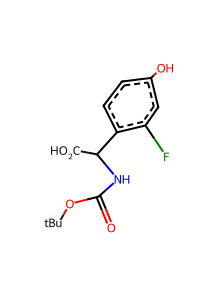 CC(C)(C)OC(=O)NC(C(=O)O)c1ccc(O)cc1F